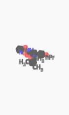 CCCOc1ccc(-c2ccc(C(=O)NS(=O)(=O)c3ccccn3)c(Oc3c(C)cc(C)cc3C)n2)cc1